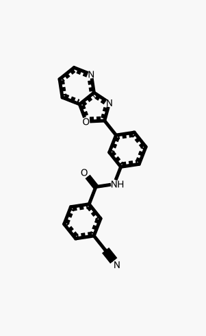 N#Cc1cccc(C(=O)Nc2cccc(-c3nc4ncccc4o3)c2)c1